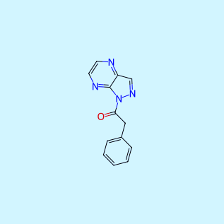 O=C(Cc1ccccc1)n1ncc2nccnc21